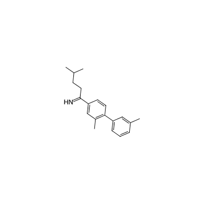 Cc1cccc(-c2ccc(C(=N)CCC(C)C)cc2C)c1